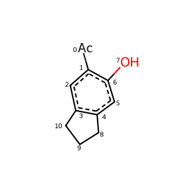 CC(=O)c1cc2c(cc1O)CCC2